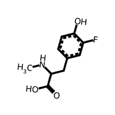 CNC(Cc1ccc(O)c(F)c1)C(=O)O